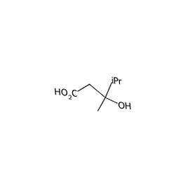 CC(C)C(C)(O)CC(=O)O